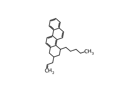 C=CCC1Cc2ccc3c(ccc4ccccc43)c2C(CCCCC)C1